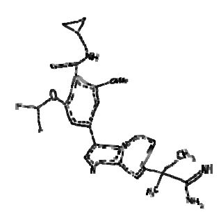 COc1cc(-c2cnc3cc(C(C)(C)C(=N)N)ccn23)cc(OC(F)F)c1C(=O)NC1CC1